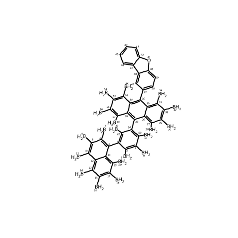 Bc1c(B)c(-c2c(B)c(B)c(B)c3c(B)c(B)c(B)c(B)c23)c(B)c(-c2c3c(B)c(B)c(B)c(B)c3c(-c3ccc4oc5ccccc5c4c3)c3c(B)c(B)c(B)c(B)c23)c1B